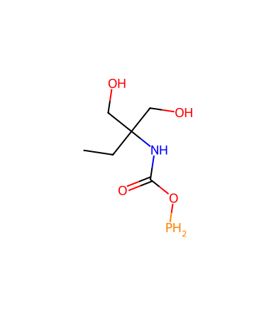 CCC(CO)(CO)NC(=O)OP